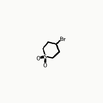 O=S1(=O)CCC(Br)CC1